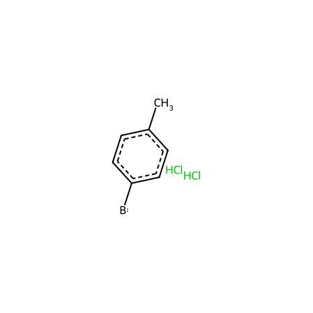 Cl.Cl.[B]c1ccc(C)cc1